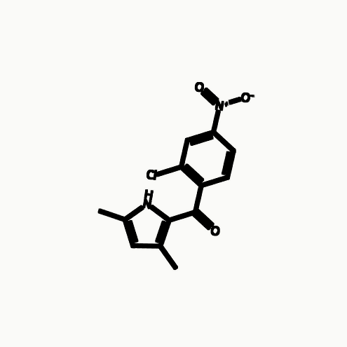 Cc1cc(C)c(C(=O)c2ccc([N+](=O)[O-])cc2Cl)[nH]1